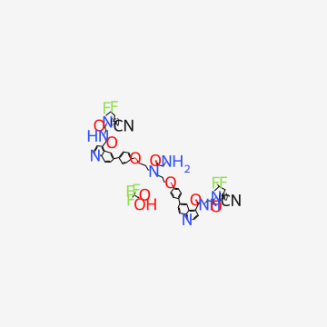 N#C[C@@H]1CC(F)(F)CN1C(=O)CNC(=O)c1ccnc2ccc(-c3ccc(OCCCN(CCCOc4ccc(-c5ccc6nccc(C(=O)NCC(=O)N7CC(F)(F)C[C@H]7C#N)c6c5)cc4)C(=O)CN)cc3)cc12.O=C(O)C(F)(F)F